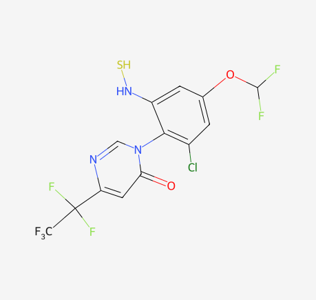 O=c1cc(C(F)(F)C(F)(F)F)ncn1-c1c(Cl)cc(OC(F)F)cc1NS